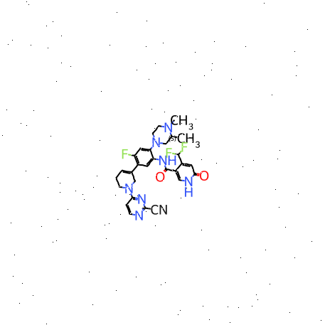 C[C@H]1CN(c2cc(F)c(C3=CCCN(c4ccnc(C#N)n4)C3)cc2NC(=O)c2c[nH]c(=O)cc2C(F)F)CCN1C